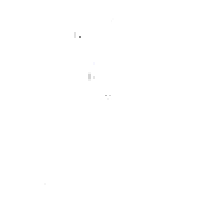 CO/N=C(/C(=O)N(C)C)c1ccccc1COc1ccc(SC(F)(F)F)cc1